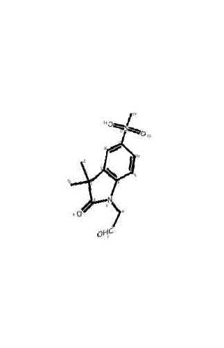 CC1(C)C(=O)N(CC=O)c2ccc(S(C)(=O)=O)cc21